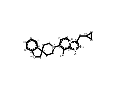 Fc1c(N2CCC3(CC2)COc2ccccc23)ccn2c(CC3CC3)nnc12